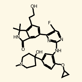 CN1CCC(O)(c2ccc(OC3CC3)c(Nc3ncc(F)c(-c4cc(CCO)c5c(c4)C(=O)NC5(C)C)n3)c2)CC1